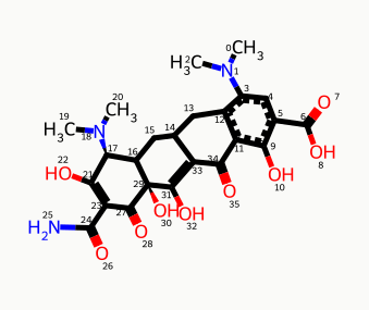 CN(C)c1cc(C(=O)O)c(O)c2c1CC1CC3[C@H](N(C)C)C(O)=C(C(N)=O)C(=O)[C@@]3(O)C(O)=C1C2=O